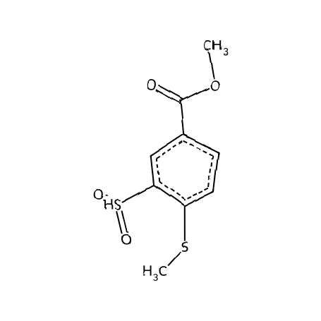 COC(=O)c1ccc(SC)c([SH](=O)=O)c1